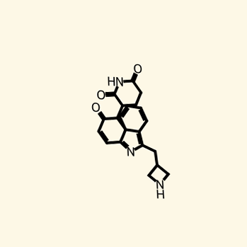 O=C1CCC(C2C(=O)C=CC3=NC(CC4CNC4)=C4C=CC=CC342)C(=O)N1